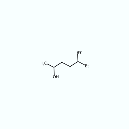 CCC(CCC(C)O)C(C)C